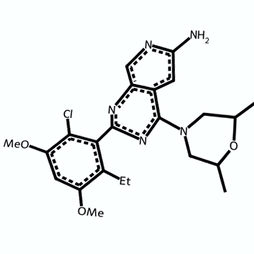 CCc1c(OC)cc(OC)c(Cl)c1-c1nc(N2CC(C)OC(C)C2)c2cc(N)ncc2n1